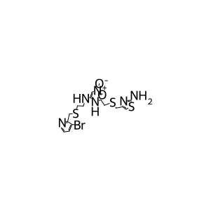 Nc1nc(CSCCN/C(=C\[N+](=O)[O-])NCCSCc2ncccc2Br)cs1